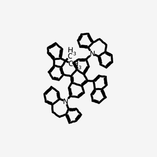 CC1(C)c2ccccc2-c2cccc(-c3c4cc(N5c6ccccc6CCc6ccccc65)ccc4c(-c4cccc5ccccc45)c4cc(N5c6ccccc6CCc6ccccc65)ccc34)c21